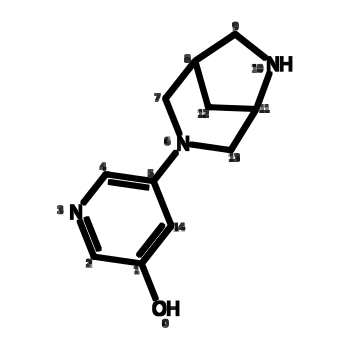 Oc1cncc(N2CC3CNC(C3)C2)c1